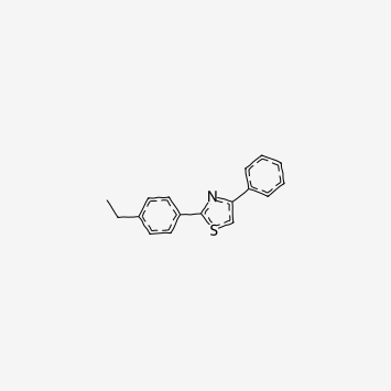 CCc1ccc(-c2nc(-c3ccccc3)cs2)cc1